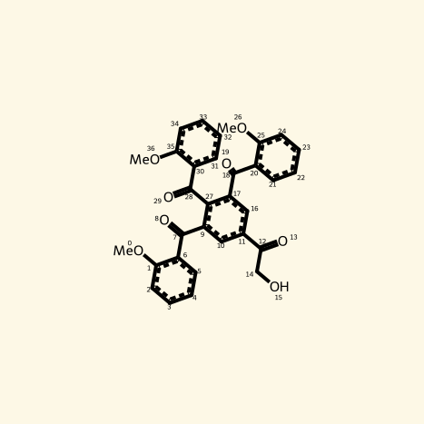 COc1ccccc1C(=O)c1cc(C(=O)CO)cc(C(=O)c2ccccc2OC)c1C(=O)c1ccccc1OC